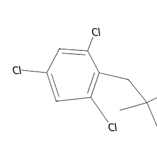 CC(C)(C)Cc1c(Cl)cc(Cl)cc1Cl